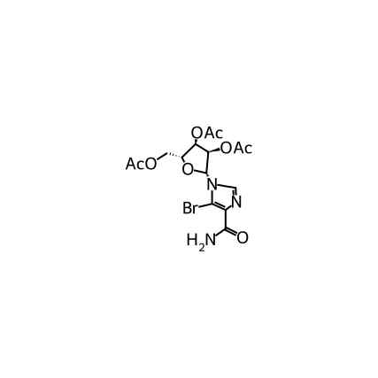 CC(=O)OC[C@H]1O[C@@H](n2cnc(C(N)=O)c2Br)[C@H](OC(C)=O)[C@@H]1OC(C)=O